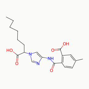 CCCCCCC(C(=O)O)n1cnc(NC(=O)c2ccc(C)cc2C(=O)O)c1